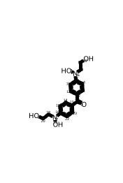 O=C(c1ccc(N(O)CCO)cc1)c1ccc(N(O)CCO)cc1